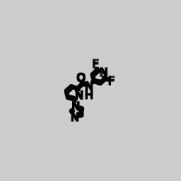 O=C(Nc1cc(F)nc(F)c1)c1cccc(-n2ccnc2)n1